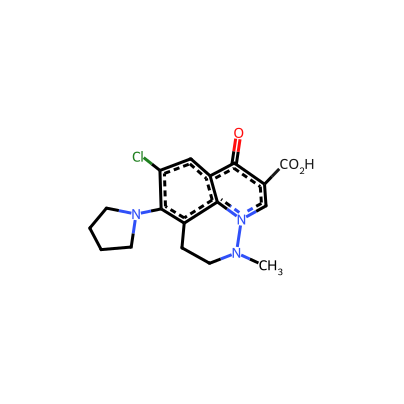 CN1CCc2c(N3CCCC3)c(Cl)cc3c(=O)c(C(=O)O)cn1c23